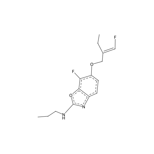 CCCNc1nc2ccc(OC/C(=C/F)CC)c(F)c2o1